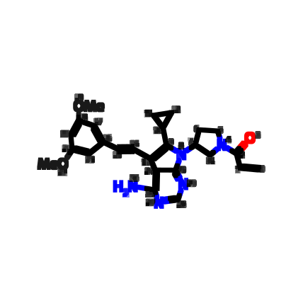 C=CC(=O)N1CCC(n2c(C3CC3)c(C#Cc3cc(OC)cc(OC)c3)c3c(N)ncnc32)C1